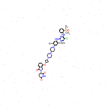 CCc1cc(Nc2ncc(Cl)c(Nc3ccccc3P(C)(C)=O)n2)c(OC)cc1N1CCC(N2CCN([C@H]3C[C@@H](Oc4cccc5c4CN([C@H]4CCC(=O)NC4=O)C5=O)C3)CC2)CC1